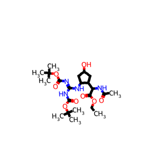 CCOC(=O)C(NC(C)=O)C1CC(O)CC1NC(=NC(=O)OC(C)(C)C)NC(=O)OC(C)(C)C